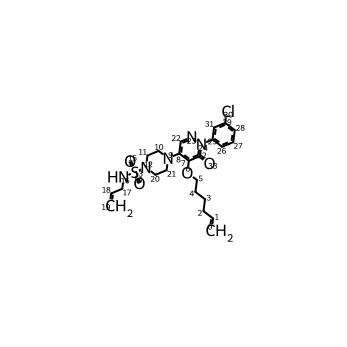 C=CCCCCOc1c(N2CCN(S(=O)(=O)NCC=C)CC2)cnn(-c2cccc(Cl)c2)c1=O